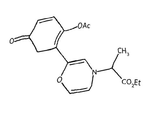 CCOC(=O)C(C)N1C=COC(C2=C(OC(C)=O)C=CC(=O)C2)=C1